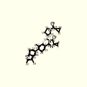 Cc1cc(C2=NC3(CC3)C(=O)N2C[C@@H]2CCN(C(=O)C3CC3)C2)ccc1-c1ccc2sc(C)c(C)c2c1